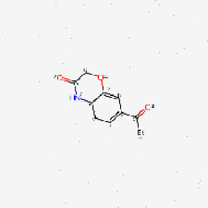 CCC(=O)C1=CCC2NC(=O)COC2=C1